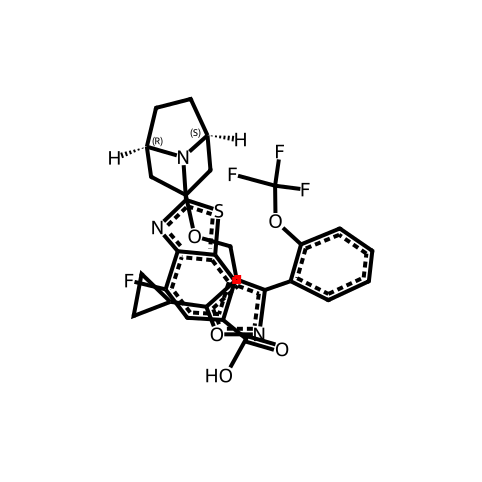 O=C(O)c1cc(F)c2nc(N3[C@@H]4CC[C@H]3CC(OCc3c(-c5ccccc5OC(F)(F)F)noc3C3CC3)C4)sc2c1